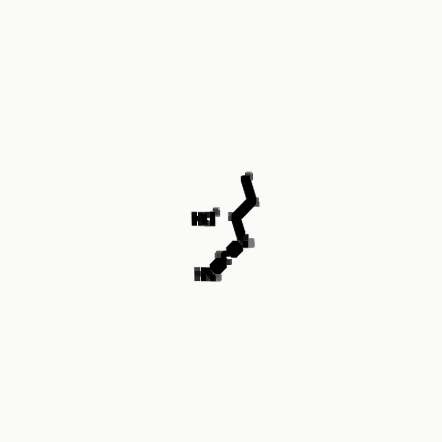 CCCN=C=N.Cl